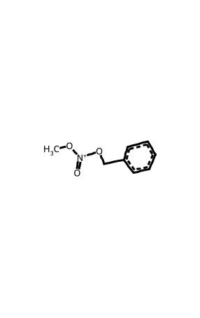 CO[N+](=O)OCc1ccccc1